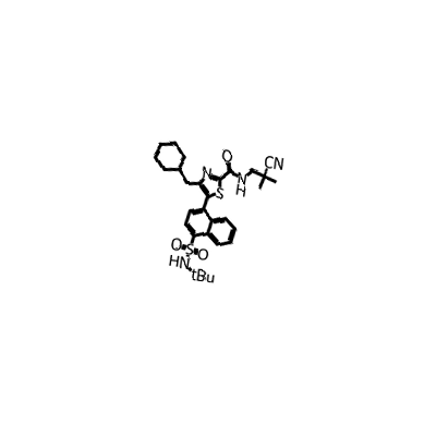 CC(C)(C#N)CNC(=O)c1nc(CC2CCCCC2)c(-c2ccc(S(=O)(=O)NC(C)(C)C)c3ccccc23)s1